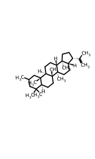 C=C(C)[C@H]1CC[C@]2(C)[C@H]3CC[C@@H]4[C@@]5(C)CC(C)CC(C)(C)[C@@H]5CC[C@@]4(C)[C@]3(C)CC[C@@H]12